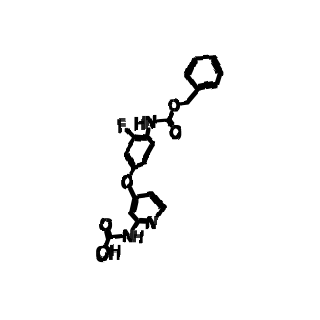 O=C(O)Nc1cc(Oc2ccc(NC(=O)OCc3ccccc3)c(F)c2)ccn1